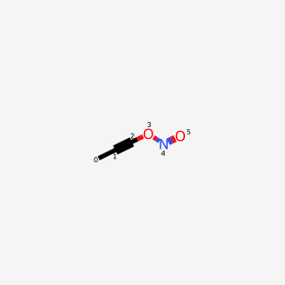 CC#CON=O